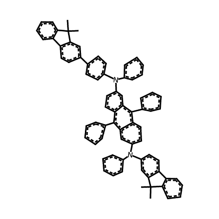 CC1(C)c2ccccc2-c2ccc(-c3ccc(N(c4ccccc4)c4ccc5c(-c6ccccc6)c6cc(N(c7ccccc7)c7ccc8c(c7)C(C)(C)c7ccccc7-8)ccc6c(-c6ccccc6)c5c4)cc3)cc21